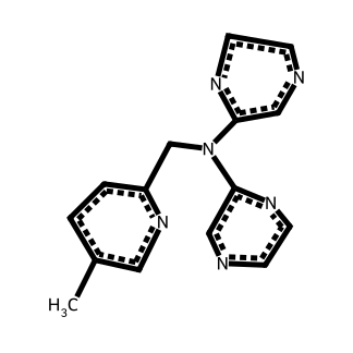 Cc1ccc(CN(c2cnccn2)c2cnccn2)nc1